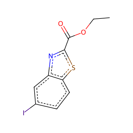 CCOC(=O)c1nc2cc(I)ccc2s1